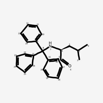 CC(C)C[C@@H](C=O)NC(c1ccccc1)(c1ccccc1)c1ccccc1